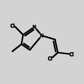 Cc1cn(C=C(Cl)Cl)nc1Cl